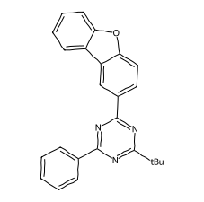 CC(C)(C)c1nc(-c2ccccc2)nc(-c2ccc3oc4ccccc4c3c2)n1